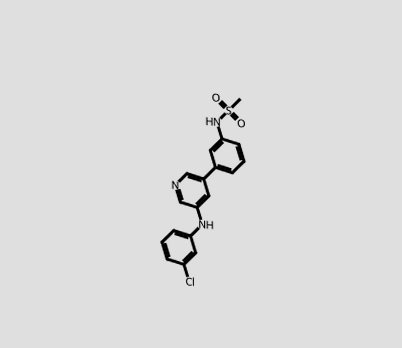 CS(=O)(=O)Nc1cccc(-c2cncc(Nc3cccc(Cl)c3)c2)c1